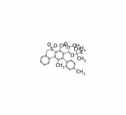 Cc1ccc(-c2c(C)c3c(c(C)c2[C@H](OC(C)(C)C)C(=O)O)S(=O)(=O)Cc2ccccc2-3)cc1